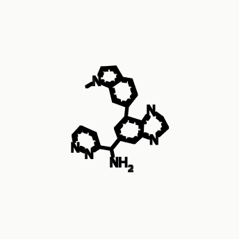 Cn1ccc2ccc(-c3cc(C(N)c4cccnn4)cc4nccnc34)cc21